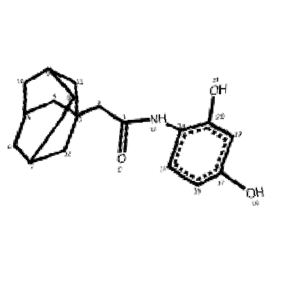 O=C(CC12CC3CC(CC(C3)C1)C2)Nc1ccc(O)cc1O